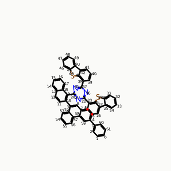 c1ccc(-c2ccc3cc(-c4ccc5ccccc5c4-c4nc(-c5cccc6c5sc5ccccc56)nc(-c5cccc6c5sc5ccccc56)n4)c4ccccc4c3c2)cc1